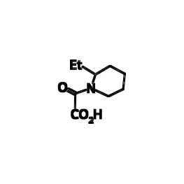 CCC1CCCCN1C(=O)C(=O)O